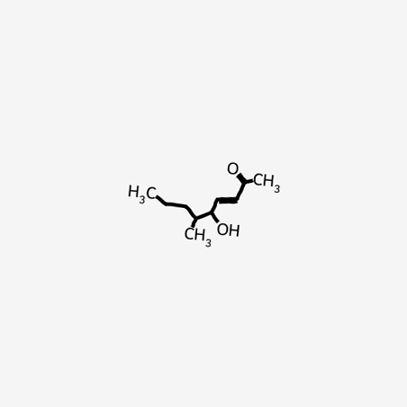 CCCC(C)C(O)/C=C/C(C)=O